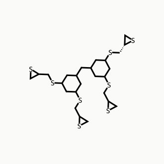 C(C1CC(SCC2CS2)CC(SCC2CS2)C1)C1CC(SCC2CS2)CC(SC[C@@H]2CS2)C1